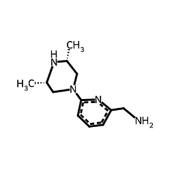 C[C@@H]1CN(c2cccc(CN)n2)C[C@H](C)N1